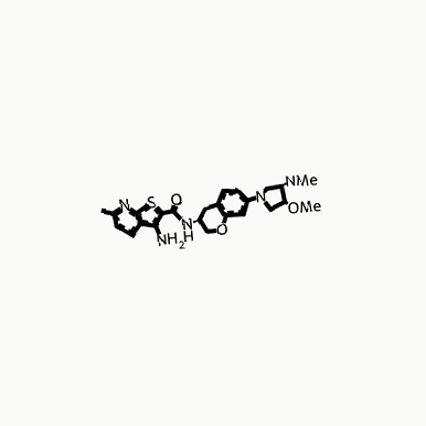 CN[C@H]1CN(c2ccc3c(c2)OC[C@H](NC(=O)c2sc4nc(C)ccc4c2N)C3)C[C@@H]1OC